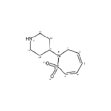 O=S1(=O)C=CC=CCN1C1CCNCC1